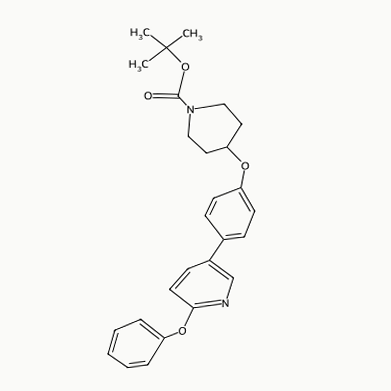 CC(C)(C)OC(=O)N1CCC(Oc2ccc(-c3ccc(Oc4ccccc4)nc3)cc2)CC1